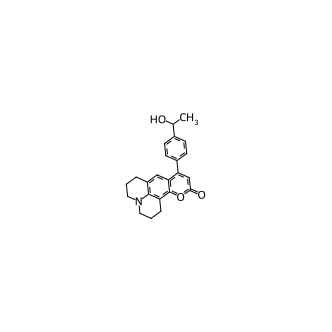 CC(O)c1ccc(-c2cc(=O)oc3c4c5c(cc23)CCCN5CCC4)cc1